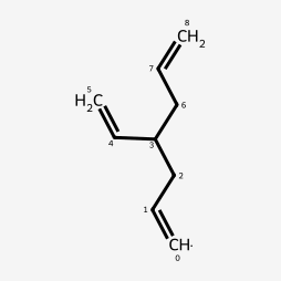 [CH]=CCC(C=C)CC=C